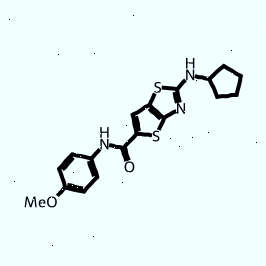 COc1ccc(NC(=O)c2cc3sc(NC4CCCC4)nc3s2)cc1